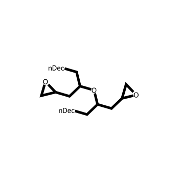 CCCCCCCCCCCC(CC1CO1)OC(CCCCCCCCCCC)CC1CO1